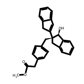 COC(=O)Cc1ccc(C[C@]2(C3=Cc4ccccc4C3)Cc3ccccc3[C@@H]2O)cc1